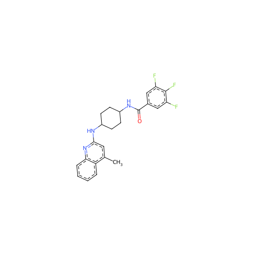 Cc1cc(NC2CCC(NC(=O)c3cc(F)c(F)c(F)c3)CC2)nc2ccccc12